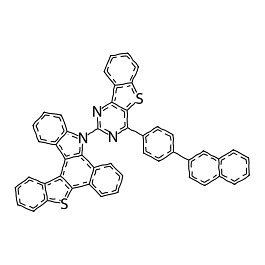 c1ccc2cc(-c3ccc(-c4nc(-n5c6ccccc6c6c7c8ccccc8sc7c7ccccc7c65)nc5c4sc4ccccc45)cc3)ccc2c1